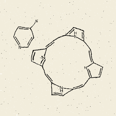 C1=Cc2cc3ccc(cc4nc(cc5ccc(cc1n2)[nH]5)C=C4)[nH]3.[Ni][c]1ccncc1